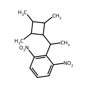 CC(c1c([N+](=O)[O-])cccc1[N+](=O)[O-])C1C(C)C(C)C1C